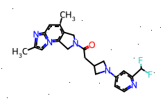 Cc1cn2c3c(c(C)cc2n1)CN(C(=O)CC1CN(c2ccnc(C(F)F)c2)C1)C3